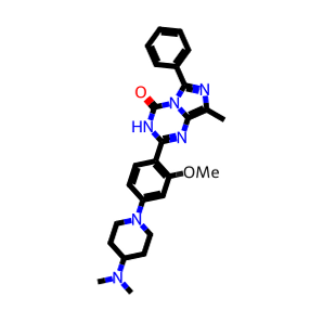 COc1cc(N2CCC(N(C)C)CC2)ccc1-c1nc2c(C)nc(-c3ccccc3)n2c(=O)[nH]1